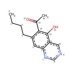 CCCCc1cc2ncncc2c(O)c1C(C)=O